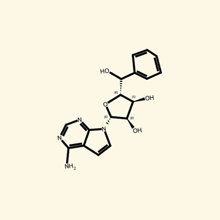 Nc1ncnc2c1ccn2[C@@H]1O[C@H](C(O)c2ccccc2)[C@@H](O)[C@H]1O